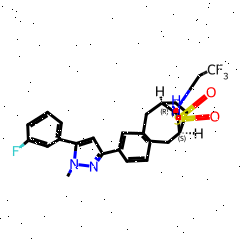 Cn1nc(-c2ccc3c(c2)C[C@H]2CC[C@@H](C3)[C@]23CN(CC(F)(F)F)S(=O)(=O)N3)cc1-c1cccc(F)c1